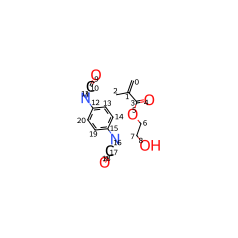 C=C(C)C(=O)OCCO.O=C=Nc1ccc(N=C=O)cc1